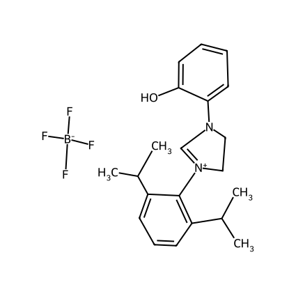 CC(C)c1cccc(C(C)C)c1[N+]1=CN(c2ccccc2O)CC1.F[B-](F)(F)F